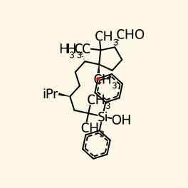 CC(C)[C@@H](CC[C@H](C)[C@@]1(C)CC[C@@H](C=O)C1(C)C)CC(C)(C)[Si](O)(c1ccccc1)c1ccccc1